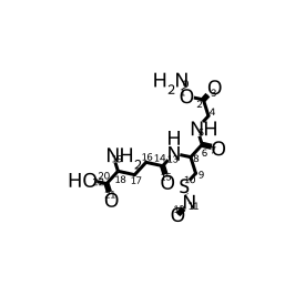 NOC(=O)CNC(=O)C(CSN=O)NC(=O)CCC(N)C(=O)O